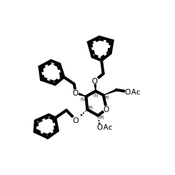 CC(=O)OC[C@H]1O[C@H](OC(C)=O)[C@H](OCc2ccccc2)[C@@H](OCc2ccccc2)[C@H]1OCc1ccccc1